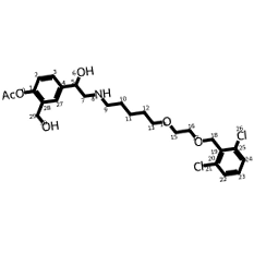 CC(=O)Oc1ccc(C(O)CNCCCCCOCCOCc2c(Cl)cccc2Cl)cc1CO